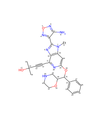 CCn1c(-c2nonc2N)nc2c(C#CC(C)(C)O)nc(OC(c3ccccc3)C3CNCCO3)cc21